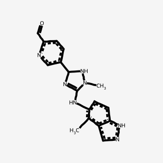 Cc1c(NC2=NC(c3ccc(C=O)nc3)NN2C)ccc2[nH]ncc12